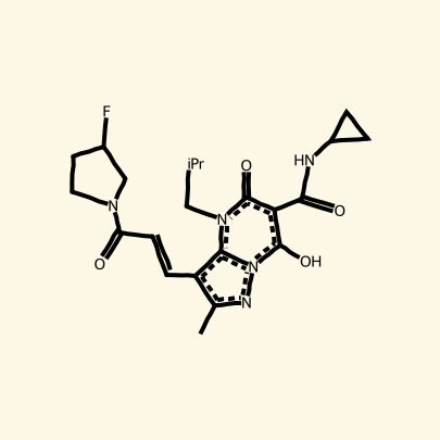 Cc1nn2c(O)c(C(=O)NC3CC3)c(=O)n(CC(C)C)c2c1C=CC(=O)N1CCC(F)C1